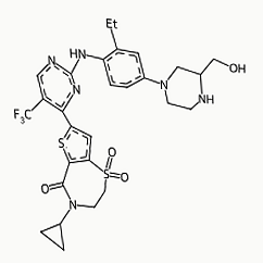 CCc1cc(N2CCNC(CO)C2)ccc1Nc1ncc(C(F)(F)F)c(-c2cc3c(s2)C(=O)N(C2CC2)CCS3(=O)=O)n1